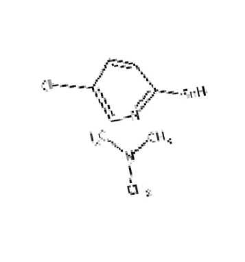 CN(C)C.Clc1cc[c]([SnH])nc1